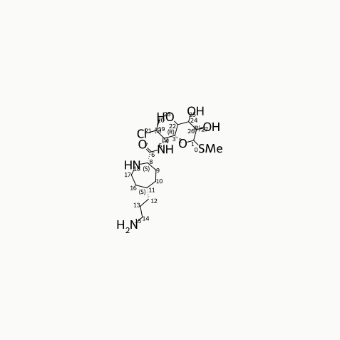 CSC1O[C@H]([C@H](NC(=O)[C@@H]2CC[C@H](CCCN)CCN2)[C@H](C)Cl)C(O)C(O)[C@H]1O